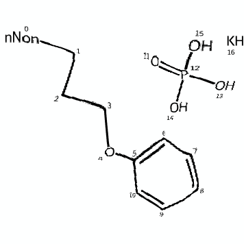 CCCCCCCCCCCCOc1ccccc1.O=P(O)(O)O.[KH]